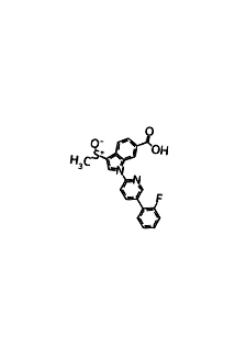 C[S+]([O-])c1cn(-c2ccc(-c3ccccc3F)cn2)c2cc(C(=O)O)ccc12